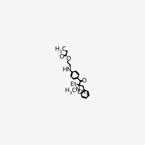 C=CC(=O)OCCNc1ccc(C(=O)C(CC)(Cc2ccccc2)N(C)C)cc1